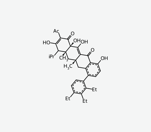 CCc1ccc(-c2ccc(O)c3c2C[C@]2(C)C[C@]4(C)C(C(C)C)C(O)=C(C(C)=O)C(=O)[C@]4(O)C(O)=C2C3=O)c(CC)c1CC